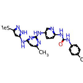 CSc1cc(Nc2cc(C)nc(Nc3ccc(NC(=O)Nc4ccc(C)cc4)nc3)n2)[nH]n1